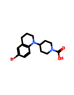 O=C(O)N1CCC(N2CCCc3cc(Br)ccc32)CC1